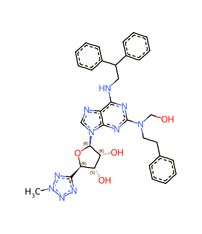 Cn1nnc([C@H]2O[C@@H](n3cnc4c(NCC(c5ccccc5)c5ccccc5)nc(N(CO)CCc5ccccc5)nc43)[C@H](O)[C@@H]2O)n1